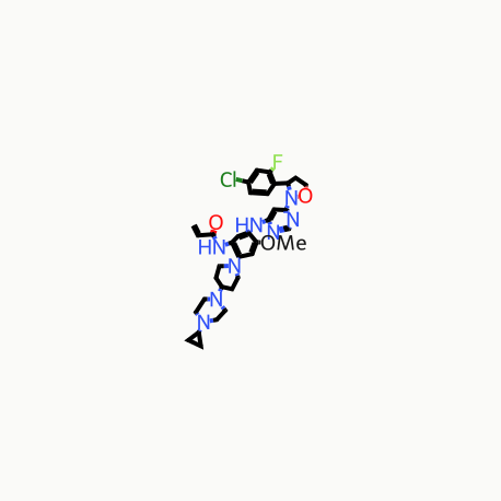 C=CC(=O)Nc1cc(Nc2cc(N3OCCC3c3ccc(Cl)cc3F)ncn2)c(OC)cc1N1CCC(N2CCN(C3CC3)CC2)CC1